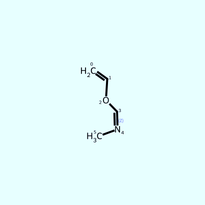 C=CO/C=N\C